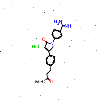 COC(=O)CCc1ccc(C2=CC(=O)N(c3ccc(C(=N)N)cc3)C2)cc1.Cl